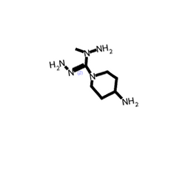 CN(N)/C(=N\N)N1CCC(N)CC1